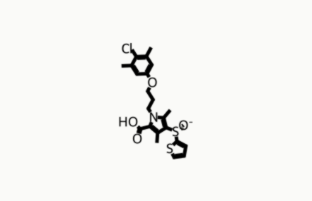 Cc1cc(OCCCn2c(C)c([S+]([O-])c3cccs3)c(C)c2C(=O)O)cc(C)c1Cl